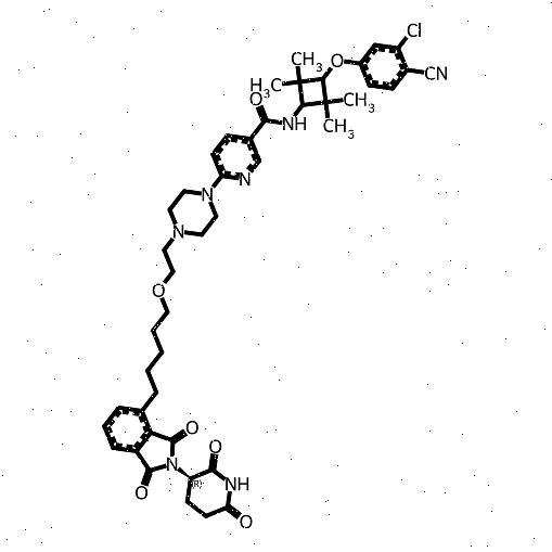 CC1(C)C(NC(=O)c2ccc(N3CCN(CCOCCCCCc4cccc5c4C(=O)N([C@@H]4CCC(=O)NC4=O)C5=O)CC3)nc2)C(C)(C)C1Oc1ccc(C#N)c(Cl)c1